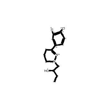 CCC(O)CN1CCCC(c2ccc(Cl)c(Cl)c2)=N1